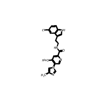 COc1cc(C(=O)NCCc2c[nH]c3ccc(Cl)cc23)ncc1-n1cnc(C)c1